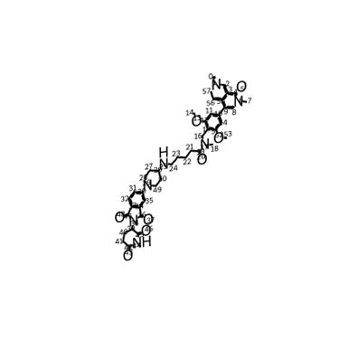 C=N/C=c1/c(=O)n(C)cc(-c2cc(OC)c(CN(C)C(=O)CCCCNC3CCN(c4ccc5c(c4)C(=O)N(C4CCC(=O)NC4=O)C5=O)CC3)c(OC)c2)/c1=C/C